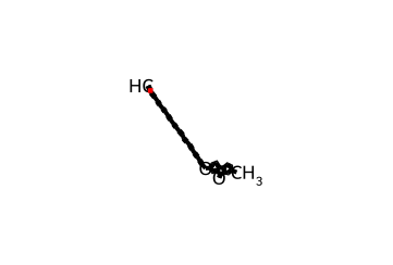 C#CC#CC#CC#CC#CC#CC#CC#CC#CC#CC#COc1ccc2c(c1)C(=O)c1cc(C)ccc1-2